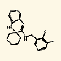 Cc1cccc(CNC2=Nc3ccccc3NC23CCCCC3)c1Cl